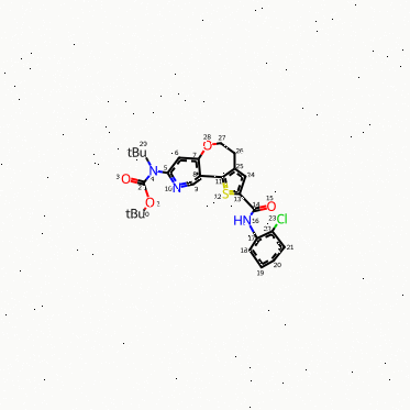 CC(C)(C)OC(=O)N(c1cc2c(cn1)-c1sc(C(=O)Nc3ccccc3Cl)cc1CCO2)C(C)(C)C